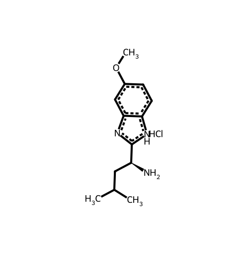 COc1ccc2[nH]c([C@@H](N)CC(C)C)nc2c1.Cl